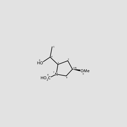 CO[C@@H]1CC(C(C)O)N(C(=O)O)C1